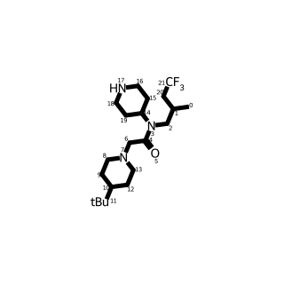 CC(CN(C(=O)CN1CCC(C(C)(C)C)CC1)C1CCNCC1)CC(F)(F)F